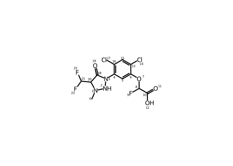 CN1NN(c2cc(OC(F)C(=O)O)c(Cl)cc2Cl)C(=O)C1C(F)F